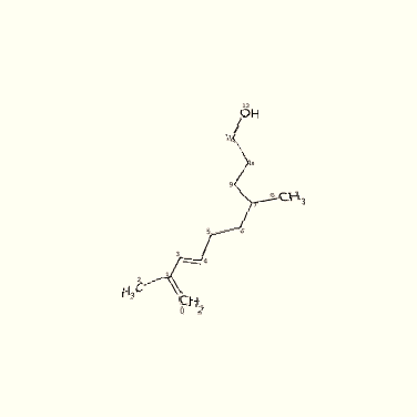 C=C(C)/C=C/CCC(C)CC[CH]O